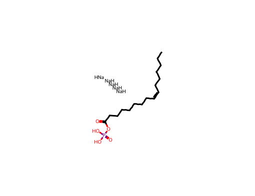 CCCCCC/C=C\CCCCCCCC(=O)OP(=O)(O)O.[NaH].[NaH].[NaH].[NaH].[NaH]